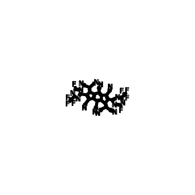 N#CC(C#N)=C1C(c2nc(F)nc(C(F)(F)F)n2)=C(C#N)c2c(C#N)c3c(c(C#N)c21)C(C#N)=C(c1nc(F)nc(C(F)(F)F)n1)C3=C(C#N)C#N